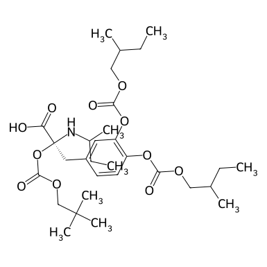 CCC(C)COC(=O)Oc1ccc(C[C@](NC(C)CC)(OC(=O)OCC(C)(C)C)C(=O)O)cc1OC(=O)OCC(C)CC